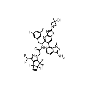 Cn1nc(N)c2cccc(-c3cc4sc(N5CC(C)(O)C5)nc4nc3[C@H](Cc3cc(F)cc(F)c3)NC(=O)Cn3nc(C(F)F)c4c3C(F)(F)[C@@H]3C#C[C@H]43)c21